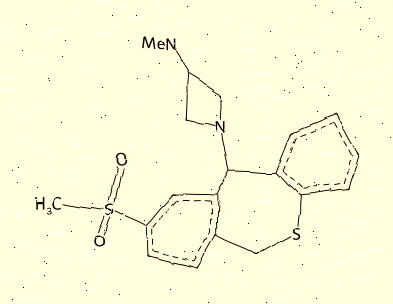 CNC1CN(C2c3cc(S(C)(=O)=O)ccc3CSc3ccccc32)C1